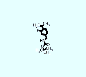 C=C(C)c1ccc(CNC(=O)OC(C)(C)C)cc1F